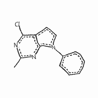 Cc1nc(Cl)c2ccn(-c3ccccc3)c2n1